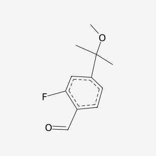 COC(C)(C)c1ccc(C=O)c(F)c1